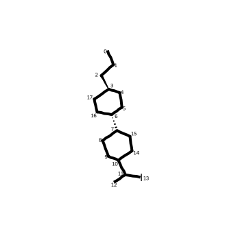 CCC[C@H]1CC[C@H](C2CCC(C(C)I)CC2)CC1